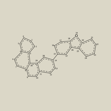 c1ccc2c(c1)ccc1ccc3ccc(-c4ccc5oc6ccccc6c5c4)cc3c12